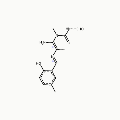 CC(/N=C/c1cc(C)ccc1O)=C(/N)N(C)C(=O)NC=O